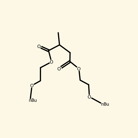 CCCCOCCOC(=O)CC(C)C(=O)OCCOCCCC